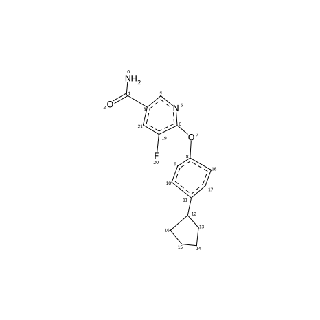 NC(=O)c1cnc(Oc2ccc(C3CCCC3)cc2)c(F)c1